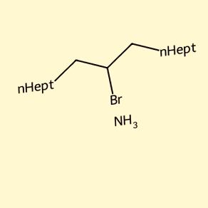 CCCCCCCCC(Br)CCCCCCCC.N